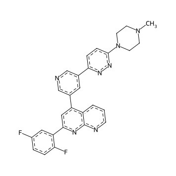 CN1CCN(c2ccc(-c3cncc(-c4cc(-c5cc(F)ccc5F)nc5ncccc45)c3)nn2)CC1